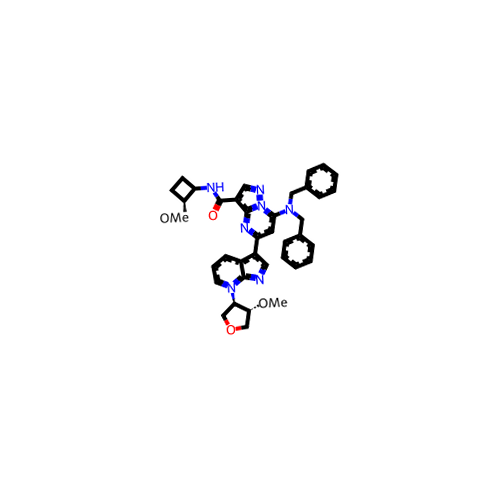 CO[C@H]1CCC1NC(=O)c1cnn2c(N(Cc3ccccc3)Cc3ccccc3)cc(-c3cnc4n([C@@H]5COC[C@H]5OC)cccc3-4)nc12